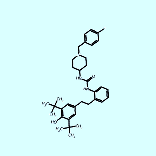 CC(C)(C)c1cc(CCc2ccccc2NC(=O)NC2CCN(Cc3ccc(F)cc3)CC2)cc(C(C)(C)C)c1O